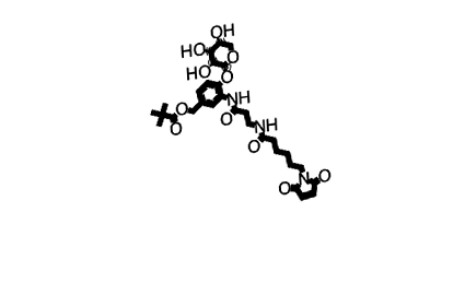 CC(C)(C)C(=O)OCc1ccc(O[C@@H]2OC[C@@H](O)[C@H](O)[C@H]2O)c(NC(=O)CCNC(=O)CCCCCN2C(=O)C=CC2=O)c1